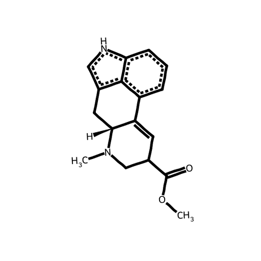 COC(=O)C1C=C2c3cccc4[nH]cc(c34)C[C@H]2N(C)C1